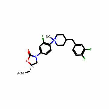 CC(=O)NC[C@H]1CN(c2ccc([N+]3(C#N)CCC(Cc4ccc(F)c(F)c4)CC3)c(F)c2)C(=O)O1